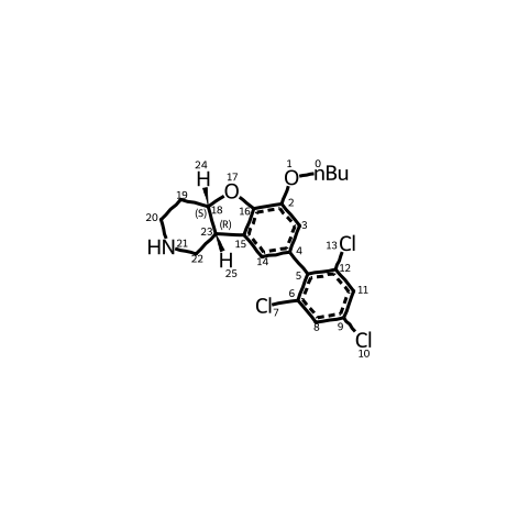 CCCCOc1cc(-c2c(Cl)cc(Cl)cc2Cl)cc2c1O[C@H]1CCNC[C@@H]21